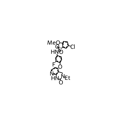 CCN1Cc2c(Oc3ccc(NS(=O)(=O)c4cc(Cl)ccc4OC)cc3F)ccnc2NC1=O